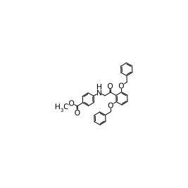 COC(=O)c1ccc(NCC(=O)c2c(OCc3ccccc3)cccc2OCc2ccccc2)cc1